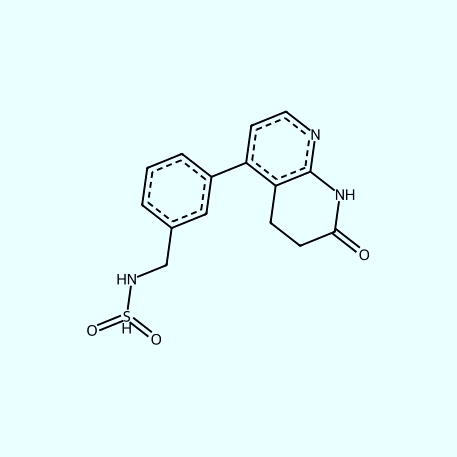 O=C1CCc2c(-c3cccc(CN[SH](=O)=O)c3)ccnc2N1